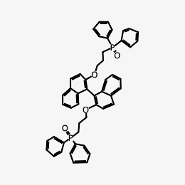 O=P(CCCOc1ccc2ccccc2c1-c1c(OCCCP(=O)(c2ccccc2)c2ccccc2)ccc2ccccc12)(c1ccccc1)c1ccccc1